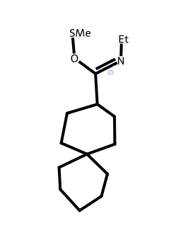 CC/N=C(\OSC)C1CCC2(CCCCC2)CC1